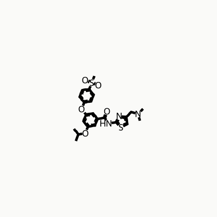 CC(C)Oc1cc(Oc2ccc(S(C)(=O)=O)cc2)cc(C(=O)Nc2nc(CN(C)C)cs2)c1